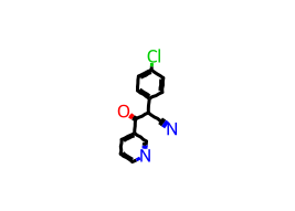 N#CC(C(=O)c1cccnc1)c1ccc(Cl)cc1